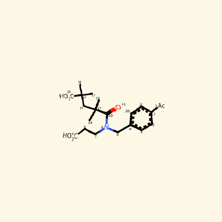 CC(=O)c1ccc(CN(CCC(=O)O)C(=O)C(C)(C)CC(C)(C)C(=O)O)cc1